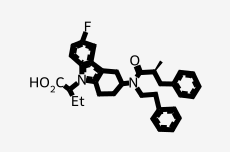 CCC(C(=O)O)n1c2c(c3cc(F)ccc31)CC(N(CCc1ccccc1)C(=O)[C@@H](C)Cc1ccccc1)CC2